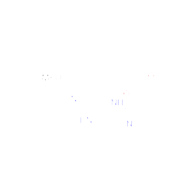 COc1ccc(N)c(N[C@H]2CCCN(C[C@H]3COc4ccccc4O3)C2)n1